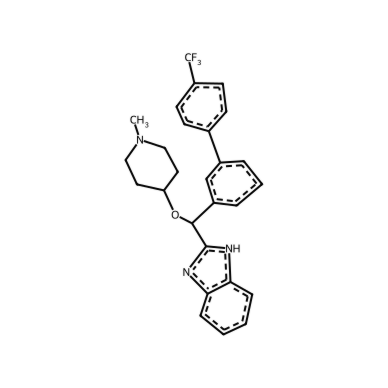 CN1CCC(OC(c2cccc(-c3ccc(C(F)(F)F)cc3)c2)c2nc3ccccc3[nH]2)CC1